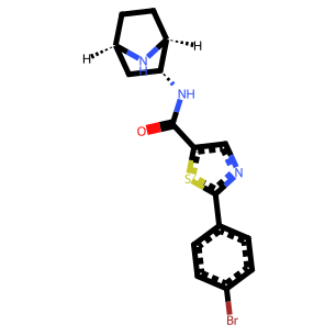 O=C(N[C@@H]1C[C@H]2CC[C@@H]1N2)c1cnc(-c2ccc(Br)cc2)s1